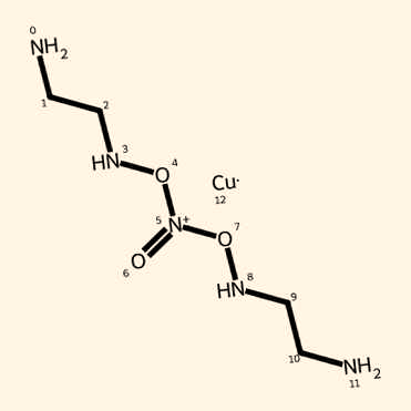 NCCNO[N+](=O)ONCCN.[Cu]